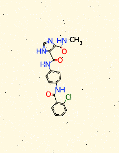 CNC(=O)c1nc[nH]c1C(=O)Nc1ccc(NC(=O)c2ccccc2Cl)cc1